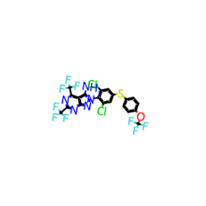 Nc1c2c(C(F)(F)F)nc(C(F)(F)F)nc2nn1-c1c(Cl)cc(Sc2ccc(OC(F)(F)F)cc2)cc1Cl